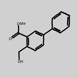 COC(=O)c1cc(-c2ccccc2)ccc1CO